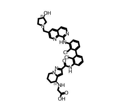 O=C(O)CN[C@H]1CCCn2nc(C(=O)Nc3cccc(-c4cccc(Nc5nccc6cc(CN7CC[C@@H](O)C7)cnc56)c4Cl)c3Cl)cc21